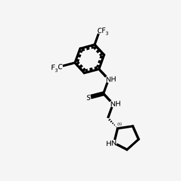 FC(F)(F)c1cc(NC(=S)NC[C@@H]2CCCN2)cc(C(F)(F)F)c1